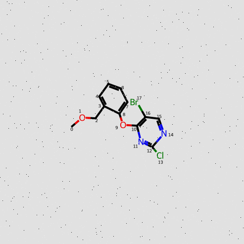 COCc1ccccc1Oc1nc(Cl)ncc1Br